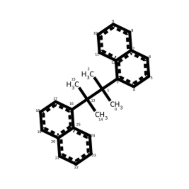 CC(C)(c1cccc2ccccc12)C(C)(C)c1cccc2ccccc12